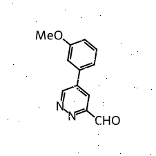 COc1cccc(-c2cnnc(C=O)c2)c1